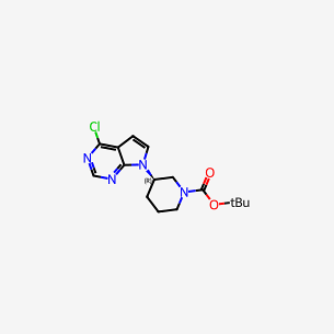 CC(C)(C)OC(=O)N1CCC[C@@H](n2ccc3c(Cl)ncnc32)C1